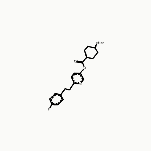 CCCCCCCCCC1CCC(C(=O)Oc2ccc(CCc3ccc(F)cc3)nc2)CC1